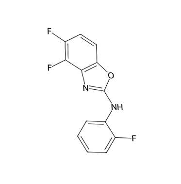 Fc1ccccc1Nc1nc2c(F)c(F)ccc2o1